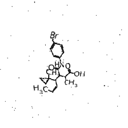 C/C=C\C(C(C(=O)Nc1ccc(Br)cc1)C(C)C(=O)O)C1(C)CC1